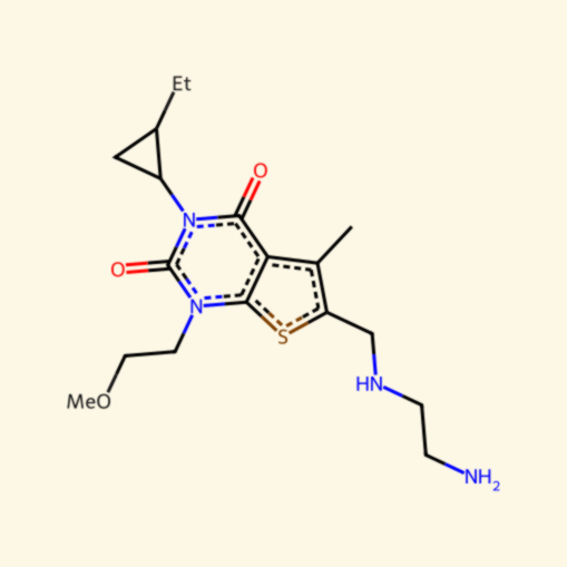 CCC1CC1n1c(=O)c2c(C)c(CNCCN)sc2n(CCOC)c1=O